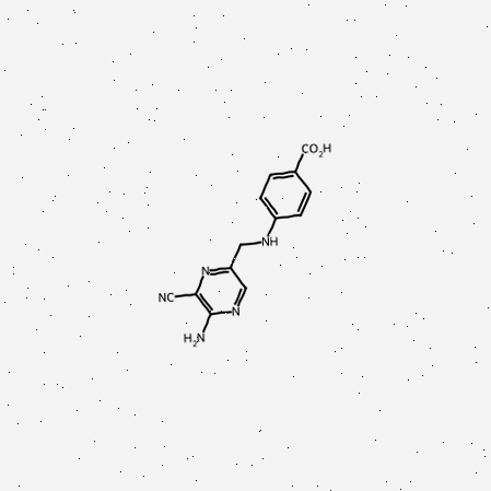 N#Cc1nc(CNc2ccc(C(=O)O)cc2)cnc1N